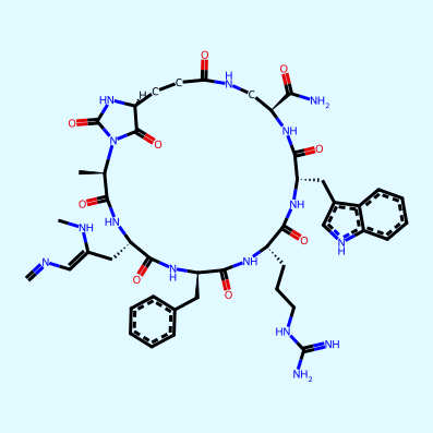 C=N/C=C(/C[C@@H]1NC(=O)[C@@H](C)N2C(=O)N[C@@H](CCC(=O)NC[C@@H](C(N)=O)NC(=O)[C@H](Cc3c[nH]c4ccccc34)NC(=O)[C@H](CCCNC(=N)N)NC(=O)[C@@H](Cc3ccccc3)NC1=O)C2=O)NC